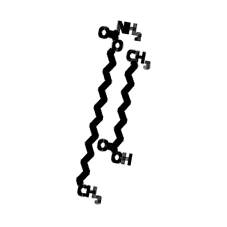 CCCCCCCCCCC(=O)O.CCCCCCCCCCCCCCCCOC(N)=O